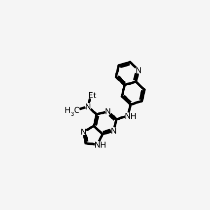 CCN(C)c1nc(Nc2ccc3ncccc3c2)nc2[nH]cnc12